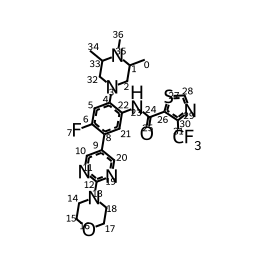 CC1CN(c2cc(F)c(-c3cnc(N4CCOCC4)nc3)cc2NC(=O)c2scnc2C(F)(F)F)CC(C)N1C